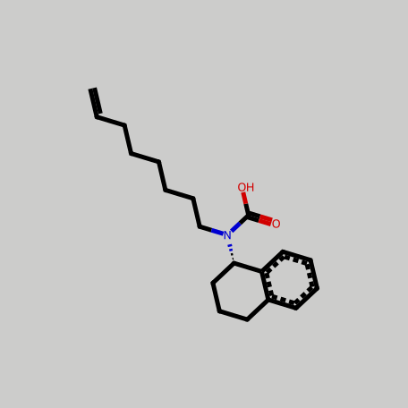 C=CCCCCCCN(C(=O)O)[C@H]1CCCc2ccccc21